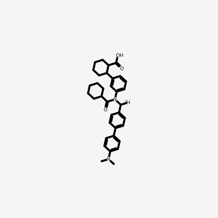 [2H]C(c1ccc(-c2ccc(N(C)C)cc2)cc1)N(C(=O)C1CCCCC1)c1cccc(C2CCCCC2C(=O)O)c1